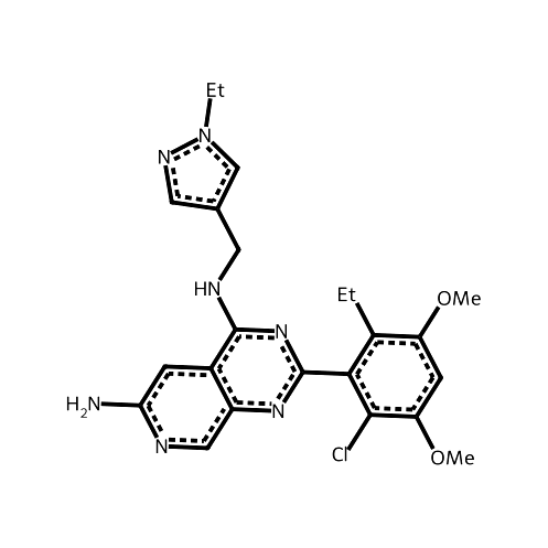 CCc1c(OC)cc(OC)c(Cl)c1-c1nc(NCc2cnn(CC)c2)c2cc(N)ncc2n1